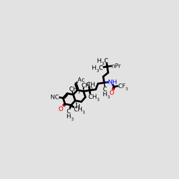 CCCC(C)(C)CC[C@@](C)(CCC(C)(C)[C@]1(C)CC[C@H]2C(C)(C)C(=O)C(C#N)=C[C@]2(C)/C1=C/C(C)=O)NC(=O)C(F)(F)F